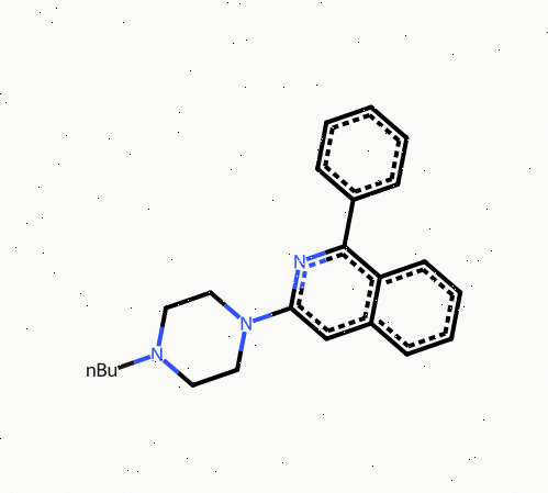 CCCCN1CCN(c2cc3ccccc3c(-c3ccccc3)n2)CC1